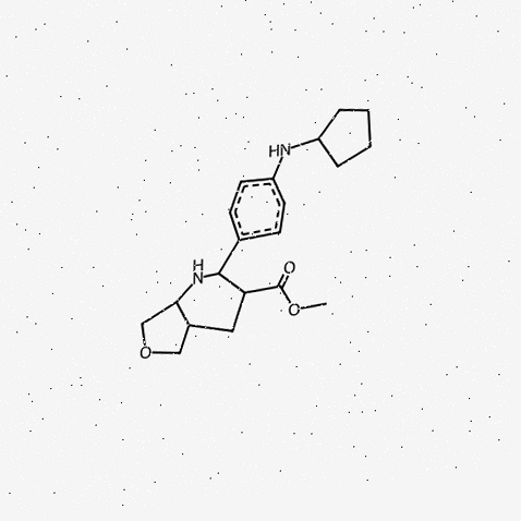 COC(=O)C1CC2COCC2NC1c1ccc(NC2CCCC2)cc1